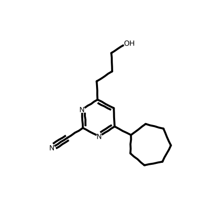 N#Cc1nc(CCCO)cc(C2CCCCCC2)n1